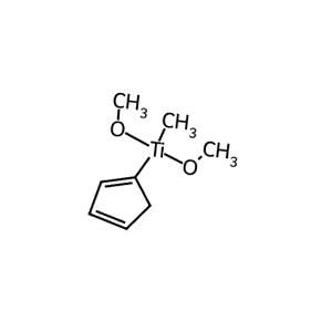 C[O][Ti]([CH3])([O]C)[C]1=CC=CC1